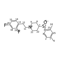 Cc1ccc([S+]([O-])C2CCN(CCc3ccc(F)cc3F)CC2)c(C)c1